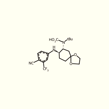 CC(C)(C)N(C(=O)O)[C@@H]1CC2(CC[C@H]1Nc1ccc(C#N)c(C(F)(F)F)c1)OCCO2